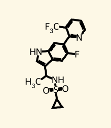 CC(NS(=O)(=O)C1CC1)c1c[nH]c2cc(-c3ncccc3C(F)(F)F)c(F)cc12